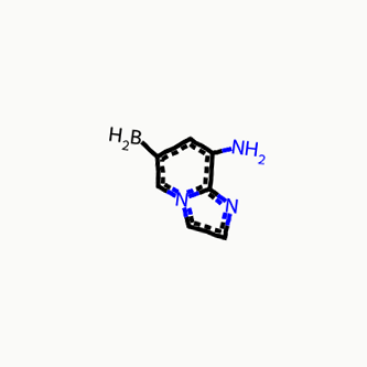 Bc1cc(N)c2nccn2c1